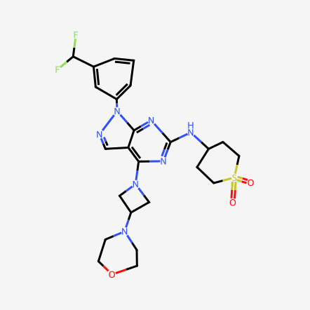 O=S1(=O)CCC(Nc2nc(N3CC(N4CCOCC4)C3)c3cnn(-c4cccc(C(F)F)c4)c3n2)CC1